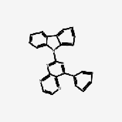 c1ccc(-c2nc(-n3c4ccccc4c4ccccc43)nc3nccnc23)cc1